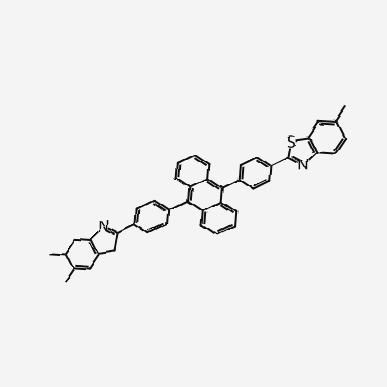 CC1=CC2=C(CC1C)N=C(c1ccc(-c3c4ccccc4c(-c4ccc(-c5nc6ccc(C)cc6s5)cc4)c4ccccc34)cc1)C2